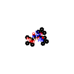 O=C(NC1C(=O)N2CC(SCC3CCCCO3)(C(=O)OC(c3ccccc3)c3ccccc3)CS[C@H]12)C(=NOC(c1ccccc1)(c1ccccc1)c1ccccc1)c1csc(NC(c2ccccc2)(c2ccccc2)c2ccccc2)n1